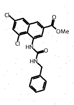 COC(=O)c1cc(NC(=O)NCc2ccccc2)c2c(Cl)cc(Cl)cc2c1